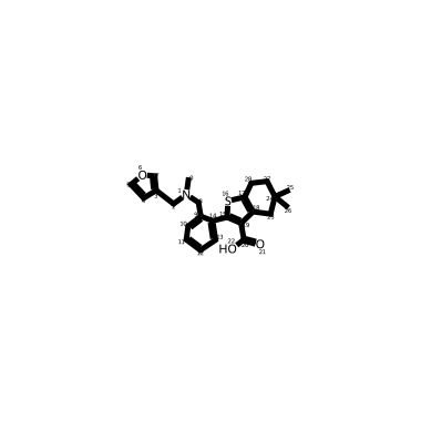 CN(Cc1ccoc1)Cc1ccccc1-c1sc2c(c1C(=O)O)CC(C)(C)CC2